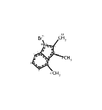 Cc1cccc2c1c(C)c(C)n2Br